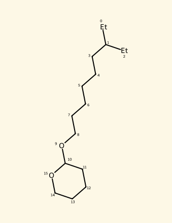 CCC(CC)CCCCCCOC1CCCCO1